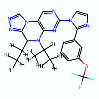 [2H]C([2H])([2H])C([2H])([2H])C1c2nncn2-c2cnc(-n3ccnc3-c3cccc(OC(F)(F)F)c3)nc2N1C([2H])(C([2H])([2H])[2H])C([2H])([2H])[2H]